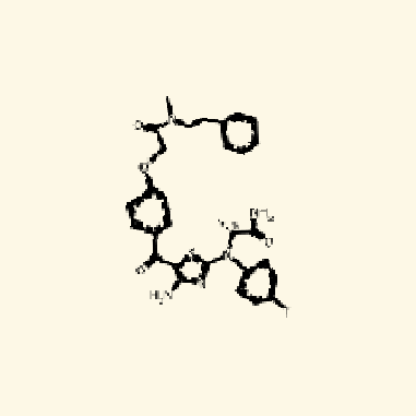 C[C@H](C(N)=O)N(c1ccc(F)cc1)c1nc(N)c(C(=O)c2ccc(OCC(=O)N(C)CCc3ccccc3)cc2)s1